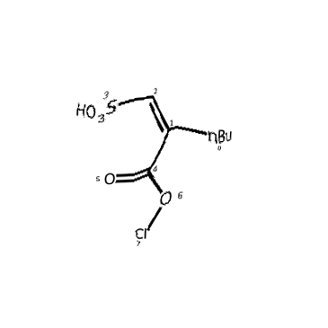 CCCCC(=CS(=O)(=O)O)C(=O)OCl